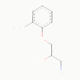 CCCCCc1ccccc1OCC(O)CN